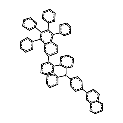 c1ccc(-c2c(-c3ccccc3)c(-c3ccccc3)c3cc(-c4ccccc4-c4ccccc4N(c4ccccc4)c4ccc(-c5ccc6ccccc6c5)cc4)ccc3c2-c2ccccc2)cc1